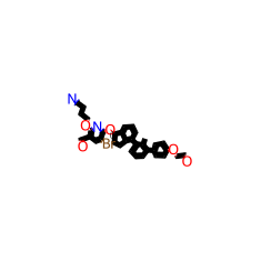 Cc1c(-c2ccc(OCC=O)cc2)cccc1-c1cccc2c1CC[C@@H]2Oc1nc(OCCCC#N)c(C=O)cc1Br